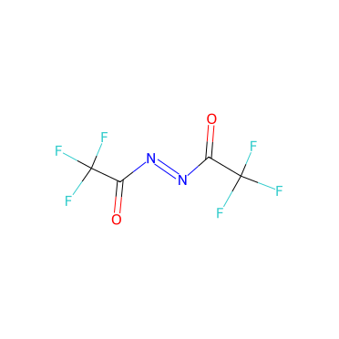 O=C(/N=N/C(=O)C(F)(F)F)C(F)(F)F